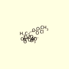 CC(Cl)OC(=O)OCCC(C)[C@@H](O[N+](=O)[O-])[C@@H](C)O[N+](=O)[O-]